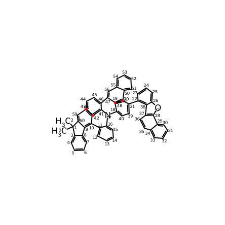 CC1(C)c2ccccc2-c2c(-c3ccccc3N(c3ccc(-c4cccc5oc6c7ccccc7ccc6c45)cc3)c3ccccc3-c3ccc4ccccc4c3)cccc21